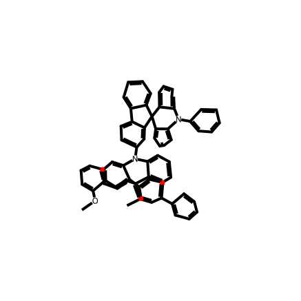 C/C=C(\C=C\c1ccccc1OC)c1ccccc1N(c1ccc2c(c1)C1(c3ccccc3-2)c2ccccc2N(c2ccccc2)c2ccccc21)c1ccccc1-c1ccc(-c2ccccc2)cc1